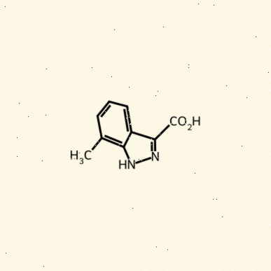 Cc1cccc2c(C(=O)O)n[nH]c12